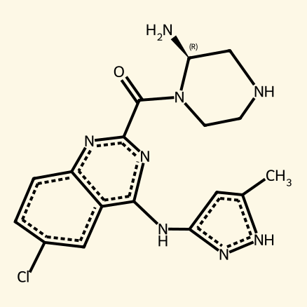 Cc1cc(Nc2nc(C(=O)N3CCNC[C@@H]3N)nc3ccc(Cl)cc23)n[nH]1